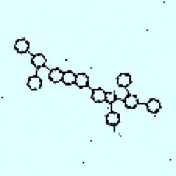 Cc1ccc(-c2c(-c3ccc(-c4ccccc4)cc3-c3ccccc3)oc3cc(-c4ccc5cc6cc(-c7ccc(-c8ccccc8)cc7-c7ccccc7)ccc6cc5c4)ccc23)cc1